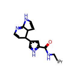 CC(C)CNC(=O)c1cc(C2C=CN=C3NC=CC32)c[nH]1